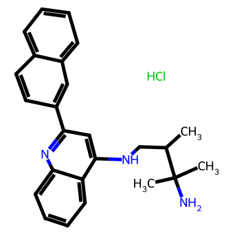 CC(CNc1cc(-c2ccc3ccccc3c2)nc2ccccc12)C(C)(C)N.Cl